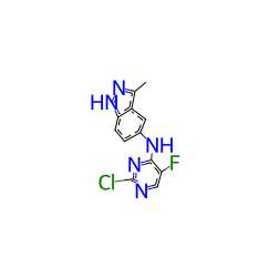 Cc1n[nH]c2ccc(Nc3nc(Cl)ncc3F)cc12